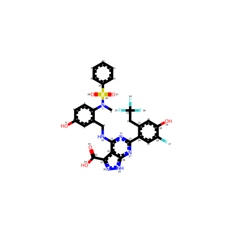 CN(c1ccc(O)cc1CNc1nc(-c2cc(F)c(O)cc2CC(F)(F)F)nc2[nH]nc(C(=O)O)c12)S(=O)(=O)c1ccccc1